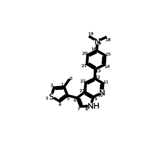 Cc1cscc1-c1c[nH]c2ncc(-c3ccc(N(C)C)cc3)cc12